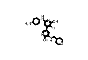 N[C@H]1CC[C@H](Nc2cc(-c3cnc(O)c(NCC4CCOCC4)c3)c(Cl)c(O)n2)CC1